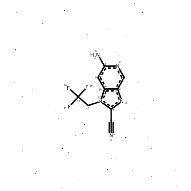 N#Cc1nc2cnc(N)cc2n1CC(F)(F)F